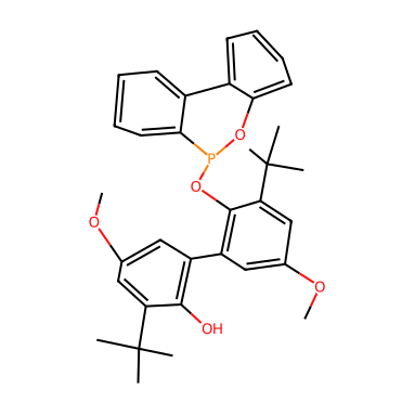 COc1cc(-c2cc(OC)cc(C(C)(C)C)c2OP2Oc3ccccc3-c3ccccc32)c(O)c(C(C)(C)C)c1